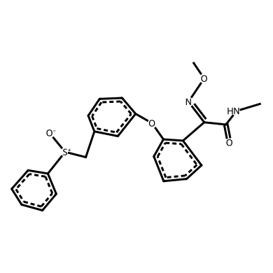 CNC(=O)/C(=N\OC)c1ccccc1Oc1cccc(C[S+]([O-])c2ccccc2)c1